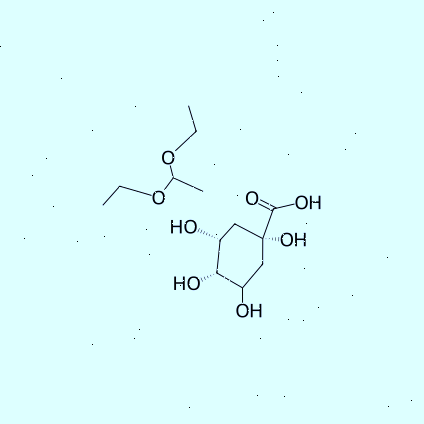 CCOC(C)OCC.O=C(O)[C@@]1(O)CC(O)[C@H](O)[C@H](O)C1